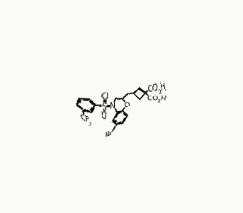 O=C(O)C1(C(=O)O)CC(CC2CN(S(=O)(=O)c3cccc(C(F)(F)F)c3)c3cc(Br)ccc3O2)C1